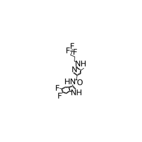 Cc1cc(C(=O)Nc2c[nH]c3cc(F)c(F)cc23)cnc1NCCCC(F)(F)F